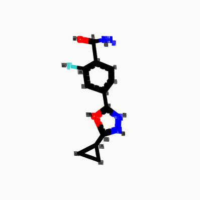 NC(=O)c1ccc(-c2nnc(C3CC3)o2)cc1F